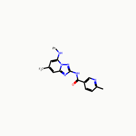 Cc1ccc(C(=O)Nc2nc3cc(C(F)(F)F)cc(NC(C)C)n3n2)cn1